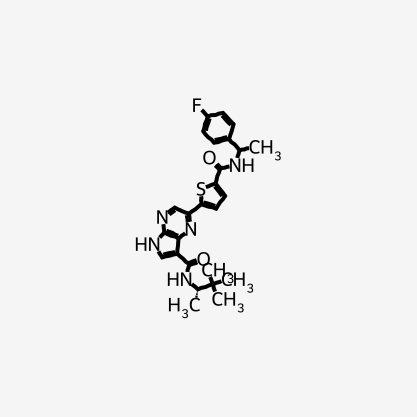 CC(NC(=O)c1ccc(-c2cnc3[nH]cc(C(=O)N[C@@H](C)C(C)(C)C)c3n2)s1)c1ccc(F)cc1